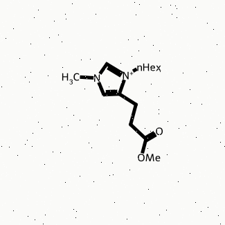 CCCCCC[n+]1cn(C)cc1CCC(=O)OC